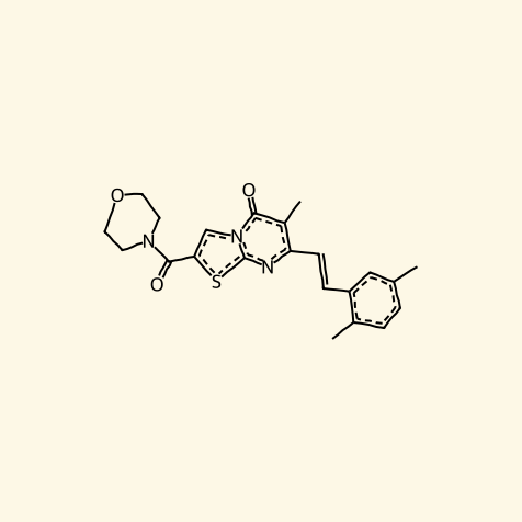 Cc1ccc(C)c(/C=C/c2nc3sc(C(=O)N4CCOCC4)cn3c(=O)c2C)c1